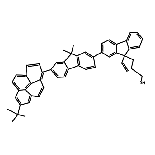 C=CC1(CCCS)c2ccccc2-c2ccc(-c3ccc4c(c3)C(C)(C)c3cc(-c5ccc6ccc7cc(C(C)(C)C)cc8ccc5c6c78)ccc3-4)cc21